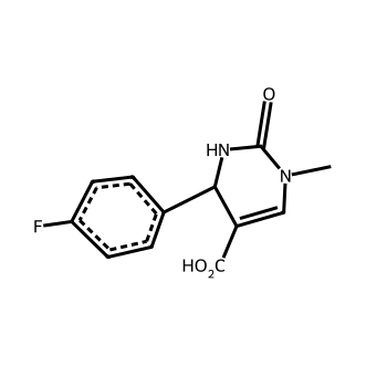 CN1C=C(C(=O)O)C(c2ccc(F)cc2)NC1=O